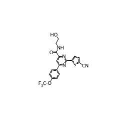 N#Cc1ccc(-c2nc(C(=O)NCCO)cc(-c3ccc(OC(F)(F)F)cc3)n2)s1